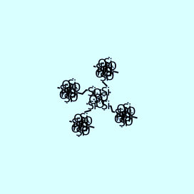 C[SiH]1O[SiH](C)O[SiH](CC[Si](C)(C)O[Si](O[Si](C)(C)CC[SiH]2O[SiH](C)O[SiH](C)O[SiH](C)O2)(O[Si](C)(C)CC[SiH]2O[SiH](C)O[SiH](C)O[SiH](C)O2)O[Si](C)(C)CC[SiH]2O[SiH](C)O[SiH](C)O[SiH](C)O2)O[SiH](C)O1